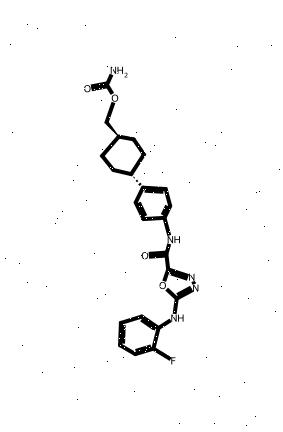 NC(=O)OC[C@H]1CC[C@H](c2ccc(NC(=O)c3nnc(Nc4ccccc4F)o3)cc2)CC1